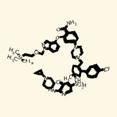 CC1(C)CCC(CN2CCN(c3ccc(C(N)=O)c(Oc4cccc5c4cnn5COCC[Si](C)(C)C)c3)CC2)=C(c2ccc(Cl)cc2)C1.O=S(=O)(O)c1cnc(NC2CCN(C3CC3)CC2)c(Cl)c1